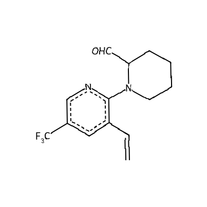 C=Cc1cc(C(F)(F)F)cnc1N1CCCCC1C=O